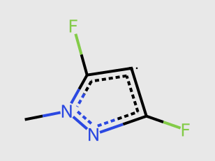 Cn1nc(F)[c]c1F